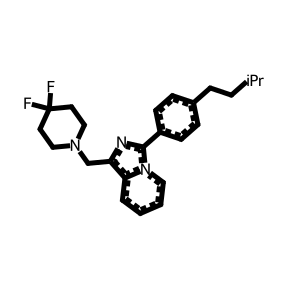 CC(C)CCc1ccc(-c2nc(CN3CCC(F)(F)CC3)c3ccccn23)cc1